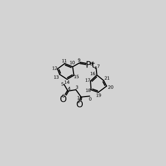 CC(=O)CC(C)=O.[CH](=[Pt]=[CH]c1ccccc1)c1ccccc1